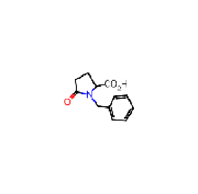 O=C(O)C1CCC(=O)N1Cc1ccccc1